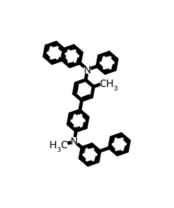 CC1C=C(c2ccc(N(C)c3cccc(-c4ccccc4)c3)cc2)C=CC1N(c1ccccc1)c1ccc2ccccc2c1